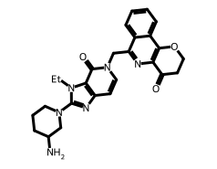 CCn1c(N2CCCC(N)C2)nc2ccn(Cc3nc4c(c5ccccc35)OCCC4=O)c(=O)c21